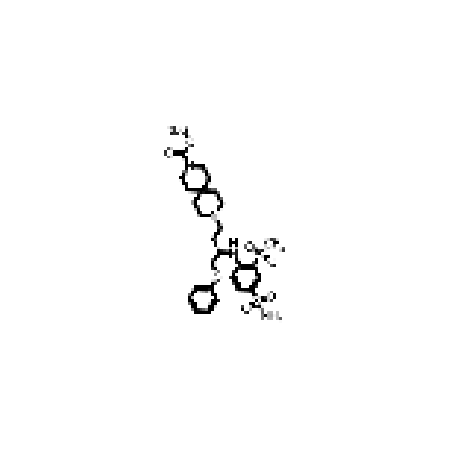 CC(C)(C)OC(=O)N1CCC2(CCN(CC[C@H](CSc3ccccc3)Nc3ccc(S(N)(=O)=O)cc3S(=O)(=O)C(F)(F)F)CC2)CC1